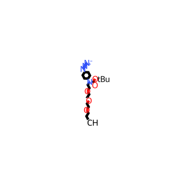 C#CCCOCCOCCOCCN(C(=O)OC(C)(C)C)C1CCC(N=[N+]=[N-])CC1